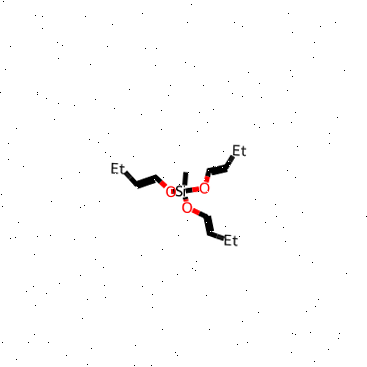 CC/C=C/O[Si](C)(O/C=C/CC)O/C=C/CC